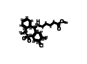 COC(=O)CCCCNC1c2ccccc2N(C)S(=O)(=O)c2cc(Cl)c(F)cc21